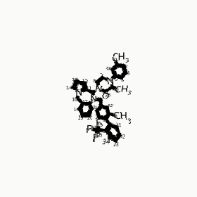 Cc1cccc(N2CCN(C3c4cc[c]n4Cc4ccccc4N3C(=O)c3ccc(-c4ccccc4C(F)(F)F)c(C)c3)CC2C)c1